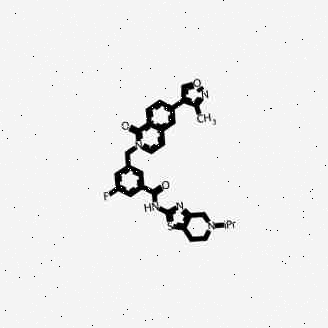 Cc1nocc1-c1ccc2c(=O)n(Cc3cc(F)cc(C(=O)Nc4nc5c(s4)CCN(C(C)C)C5)c3)ccc2c1